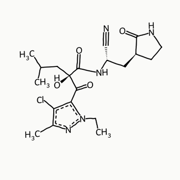 CCn1nc(C)c(Cl)c1C(=O)[C@](O)(CC(C)C)C(=O)N[C@H](C#N)C[C@@H]1CCNC1=O